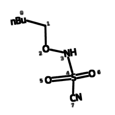 CCCCCONS(=O)(=O)C#N